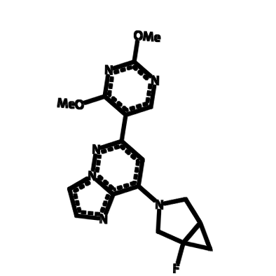 COc1ncc(-c2cc(N3CC4CC4(F)C3)c3nccn3n2)c(OC)n1